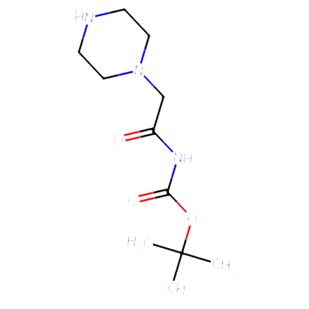 CC(C)(C)OC(=O)NC(=O)CN1CCNCC1